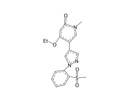 CCOc1cc(=O)n(C)cc1-c1cnn(-c2ccccc2S(C)(=O)=O)c1